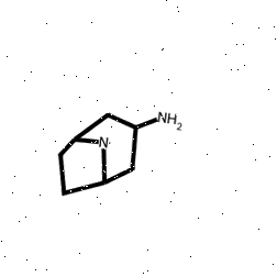 NC1CC2CCC(C1)[N]2